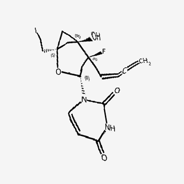 C=C=C[C@]1(F)[C@H](n2ccc(=O)[nH]c2=O)O[C@@]2(CI)C[C@@]21O